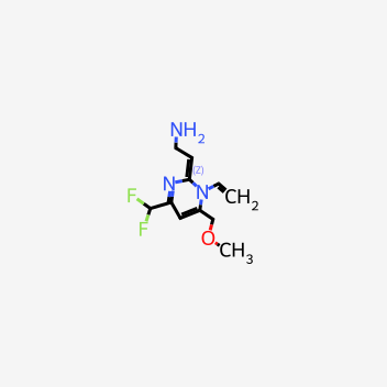 C=CN1C(COC)=CC(C(F)F)=N/C1=C\CN